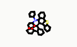 c1ccc(N(c2ccccc2)c2c(-c3cc4ccccc4c4ccccc34)c3c4ccccc4sc3c3ccccc23)cc1